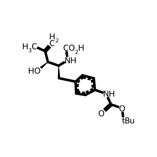 C=C(C)[C@H](O)[C@H](Cc1ccc(NC(=O)OC(C)(C)C)cc1)NC(=O)O